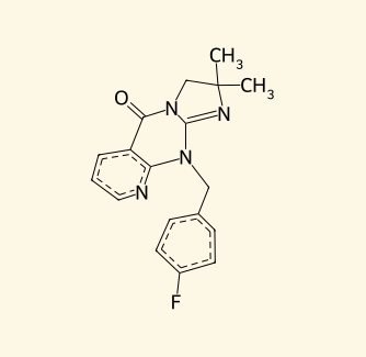 CC1(C)CN2C(=O)c3cccnc3N(Cc3ccc(F)cc3)C2=N1